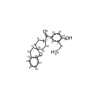 CCc1cc(C(=O)N2CCC3(CCc4ccccc4O3)CC2)ccc1O